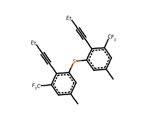 CCC#Cc1c(Sc2cc(C)cc(C(F)(F)F)c2C#CCC)cc(C)cc1C(F)(F)F